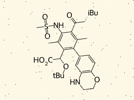 CC[C@@H](C)CC(=O)c1c(C)c(-c2ccc3c(c2)NCCO3)c(C(OC(C)(C)C)C(=O)O)c(C)c1NS(C)(=O)=O